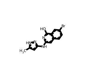 Cc1cc(Nc2cc3ccc(Br)cc3c(O)n2)n[nH]1